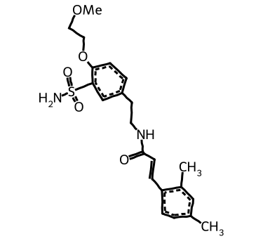 COCCOc1ccc(CCNC(=O)C=Cc2ccc(C)cc2C)cc1S(N)(=O)=O